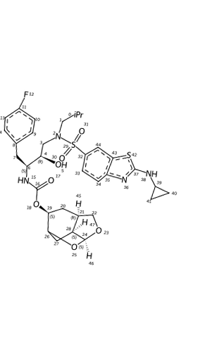 CC(C)CN(C[C@@H](O)[C@H](Cc1ccc(F)cc1)NC(=O)O[C@H]1C[C@H]2CO[C@H]3OC1C[C@@H]23)S(=O)(=O)c1ccc2nc(NC3CC3)sc2c1